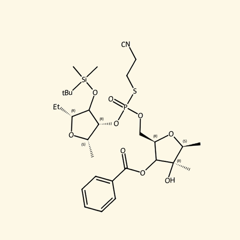 [C-]#[N+]CCSP(=O)(OC[C@H]1O[C@@H](C)[C@@](C)(O)C1OC(=O)c1ccccc1)O[C@H]1C(O[Si](C)(C)C(C)(C)C)[C@@H](CC)O[C@H]1C